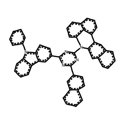 c1ccc(-n2c3ccccc3c3cc(-c4nc(-c5ccc6ccccc6c5)nc(N5c6cc7ccccc7cc6-c6cccc7cccc5c67)n4)ccc32)cc1